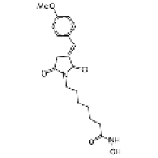 COc1ccc(/C=C2\CC(=O)N(CCCCCCC(=O)NO)C2=O)cc1